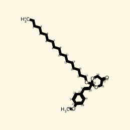 CCCCCCCCCCCCCCCCCCOC1(/C=C/c2ccc(OC)cc2)OCC(=O)CO1